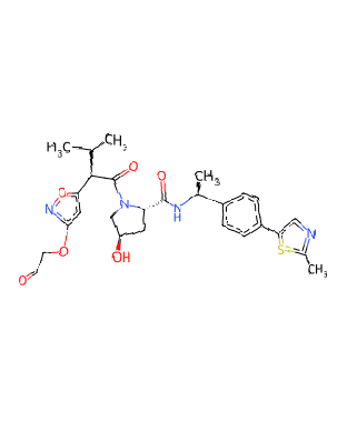 Cc1ncc(-c2ccc([C@H](C)NC(=O)[C@@H]3C[C@@H](O)CN3C(=O)[C@@H](c3cc(OCC=O)no3)C(C)C)cc2)s1